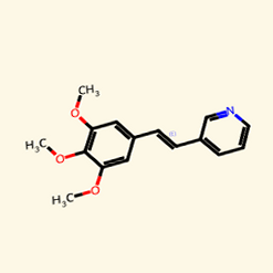 COc1cc(/C=C/c2cccnc2)cc(OC)c1OC